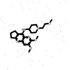 COCCN1CCC(Nc2c3c(nc4cc(OC)c(OC)nc24)CCC3)CC1